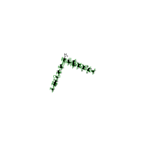 CC(F)(F)C(F)(F)F.FC(Cl)C(F)(F)F.FC(Cl)Cl.FC(F)(Cl)CCl.FC(F)(F)C(Cl)Cl.FC(F)(F)CCl.FC(F)C(F)(F)C(F)(F)F.FC(F)C(F)(F)F.FC(F)Cl.FC(F)F.FCC(F)(F)C(F)(F)F.FCC(F)(F)F